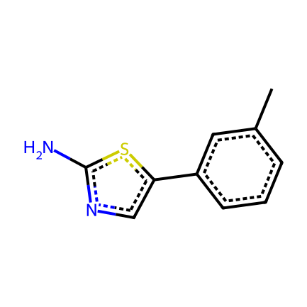 Cc1cccc(-c2cnc(N)s2)c1